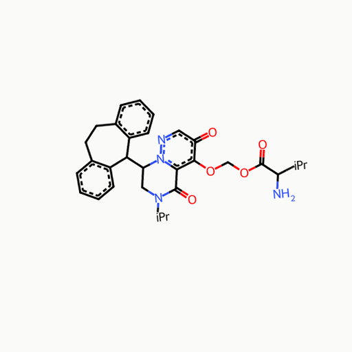 CC(C)C(N)C(=O)OCOc1c2n(ncc1=O)C(C1c3ccccc3CCc3ccccc31)CN(C(C)C)C2=O